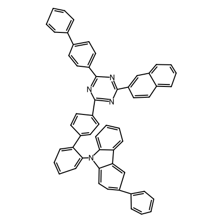 c1ccc(-c2ccc(-c3nc(-c4ccc(-c5ccccc5-n5c6ccccc6c6cc(-c7ccccc7)ccc65)cc4)nc(-c4ccc5ccccc5c4)n3)cc2)cc1